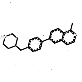 Cc1nccc2cc(-c3ccc(CC4CCNCC4)cc3)ccc12